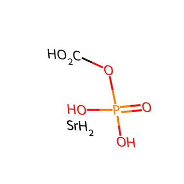 O=C(O)OP(=O)(O)O.[SrH2]